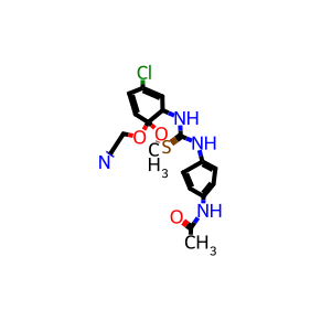 COC1(OCC#N)C=CC(Cl)=CC1NC(=S)Nc1ccc(NC(C)=O)cc1